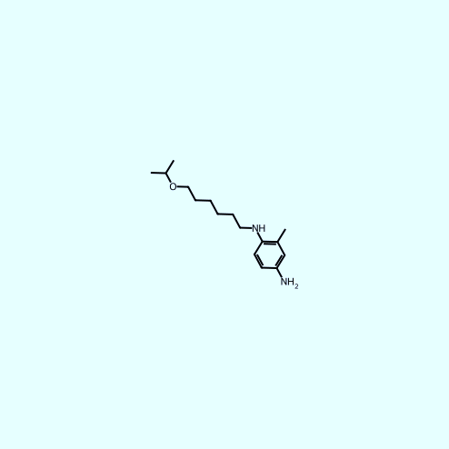 Cc1cc(N)ccc1NCCCCCCOC(C)C